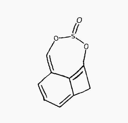 O=S1OC=c2cccc3c2=C(C3)O1